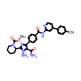 CC(C)(C)OC(=O)N1CCCCC1c1nc(-c2ccc(C(=O)Nc3cc(-c4ccc(C#N)cc4)ccn3)cc2)c(C(N)=O)n1N